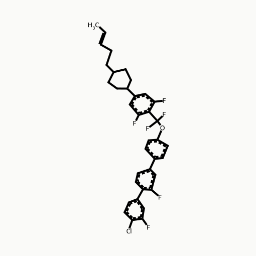 C/C=C/CCC1CCC(c2cc(F)c(C(F)(F)Oc3ccc(-c4ccc(-c5ccc(Cl)c(F)c5)c(F)c4)cc3)c(F)c2)CC1